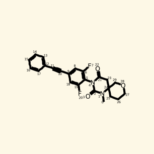 CN1C(=O)N(c2c(F)cc(C#Cc3ccccc3)cc2F)C(=O)CC12CCCOC2